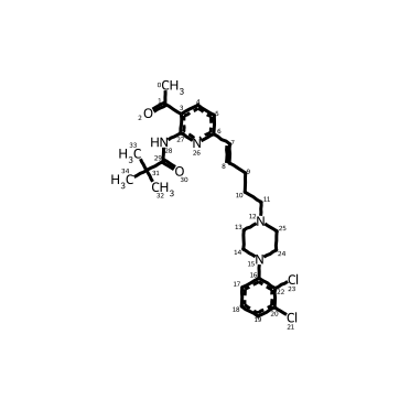 CC(=O)c1ccc(C=CCCCN2CCN(c3cccc(Cl)c3Cl)CC2)nc1NC(=O)C(C)(C)C